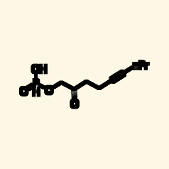 CCCC#CCCC(=O)CO[PH](=O)O